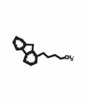 [CH2]CCCCc1cccc2c1Cc1ccccc1-2